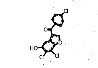 O=C(c1ccc(Cl)cc1)c1coc2c(Cl)c(Cl)c(O)cc12